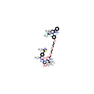 Cc1ncsc1-c1ccc(C(C)NC(=O)[C@@H]2C[C@@H](O)CN2C(=O)C(NC(=O)COCCCOCCCCOc2cc(F)c([C@@H]3c4[nH]c5ccccc5c4C[C@@H](C)N3CC(C)(C)F)c(F)c2)C(C)(C)C)cc1